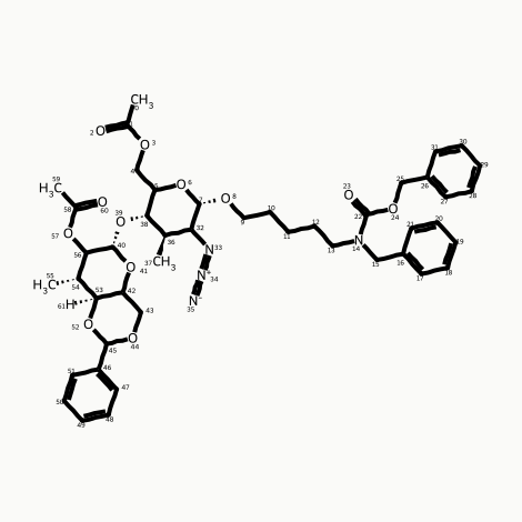 CC(=O)OCC1O[C@H](OCCCCCN(Cc2ccccc2)C(=O)OCc2ccccc2)C(N=[N+]=[N-])[C@@H](C)[C@@H]1O[C@@H]1OC2COC(c3ccccc3)O[C@H]2[C@H](C)C1OC(C)=O